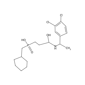 CC(NC(O)CCP(=O)(O)CC1CCCCC1)c1ccc(Cl)c(Cl)c1